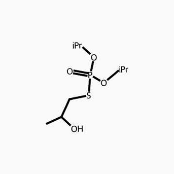 CC(O)CSP(=O)(OC(C)C)OC(C)C